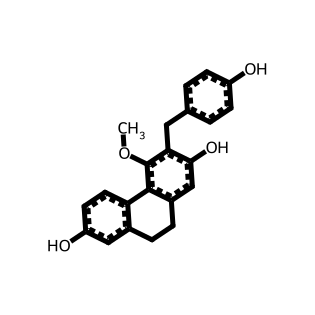 COc1c(Cc2ccc(O)cc2)c(O)cc2c1-c1ccc(O)cc1CC2